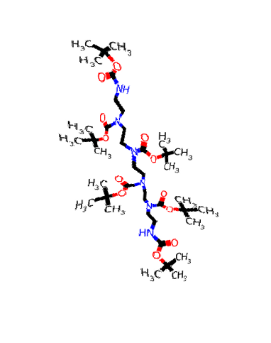 CC(C)(C)OC(=O)NCCN(CCN(CCN(CCN(CCNC(=O)OC(C)(C)C)C(=O)OC(C)(C)C)C(=O)OC(C)(C)C)C(=O)OC(C)(C)C)C(=O)OC(C)(C)C